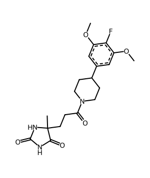 COc1cc(C2CCN(C(=O)CCC3(C)NC(=O)NC3=O)CC2)cc(OC)c1F